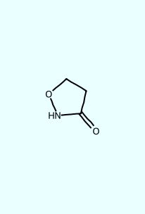 O=C1CCON1